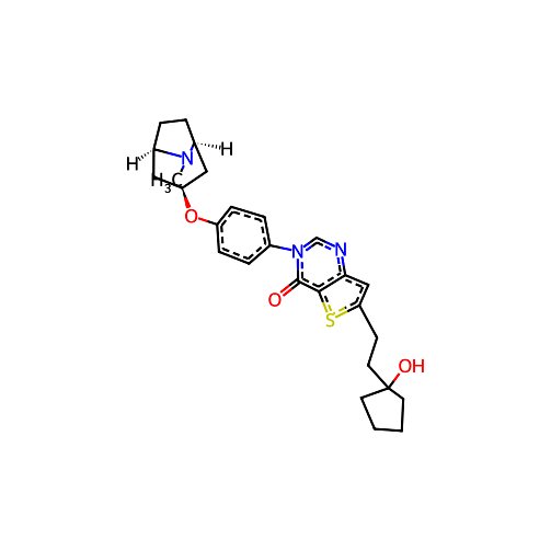 CN1[C@@H]2CC[C@H]1C[C@@H](Oc1ccc(-n3cnc4cc(CCC5(O)CCCC5)sc4c3=O)cc1)C2